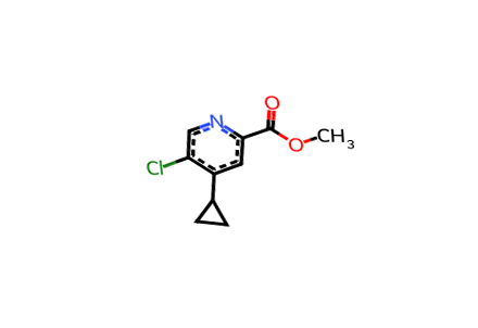 COC(=O)c1cc(C2CC2)c(Cl)cn1